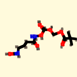 CC(C)(C)C(=O)OCOC(=O)ONC(=O)CCCN=O